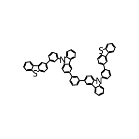 c1cc(-c2ccc3c(c2)c2ccccc2n3-c2cccc(-c3ccc4sc5ccccc5c4c3)c2)cc(-c2ccc3c(c2)c2ccccc2n3-c2cccc(-c3ccc4sc5ccccc5c4c3)c2)c1